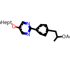 CCCCCCCOc1cnc(-c2ccc(CC(C)OC(C)=O)cc2)nc1